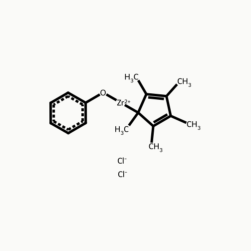 CC1=C(C)[C](C)([Zr+2][O]c2ccccc2)C(C)=C1C.[Cl-].[Cl-]